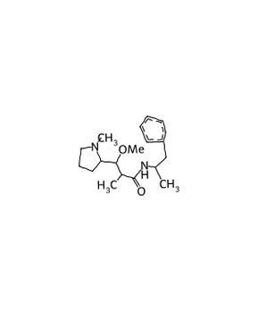 COC(C(C)C(=O)NC(C)Cc1ccccc1)C1CCCN1C